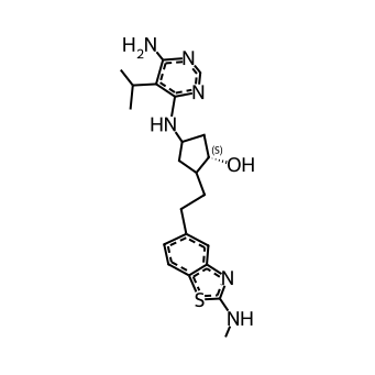 CNc1nc2cc(CCC3CC(Nc4ncnc(N)c4C(C)C)C[C@@H]3O)ccc2s1